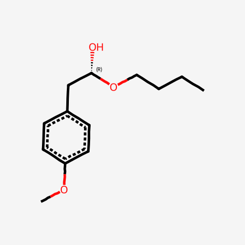 CCCCO[C@@H](O)Cc1ccc(OC)cc1